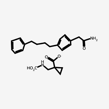 NC(=O)Cc1ccc(CCCCc2ccccc2)cc1.[O]C(=O)C1(CNC(=O)O)CC1